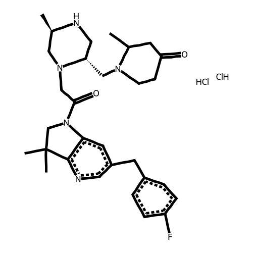 CC1CC(=O)CCN1C[C@H]1CN[C@H](C)CN1CC(=O)N1CC(C)(C)c2ncc(Cc3ccc(F)cc3)cc21.Cl.Cl